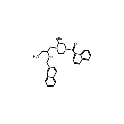 CCCCC1CN(C(=O)c2cccc3ccccc23)CCN1CC(CN)NCc1ccc2ccccc2c1